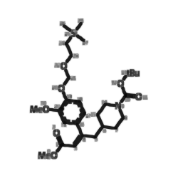 COC(=O)C=C(CC1CCN(C(=O)OC(C)(C)C)CC1)c1ccc(OCOCC[Si](C)(C)C)c(OC)c1